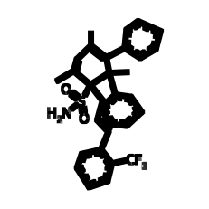 CC1=CC(C)=C(c2ccccc2)C(C)(c2ccccc2)C1(CC=Cc1ccccc1C(F)(F)F)S(N)(=O)=O